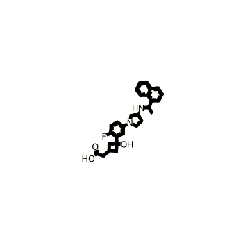 CC(N[C@H]1CCN(c2ccc(F)c(C3(O)CC(CC(=O)O)C3)c2)C1)c1cccc2ccccc12